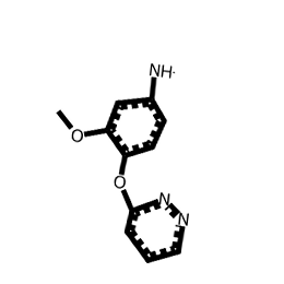 COc1cc([NH])ccc1Oc1cccnn1